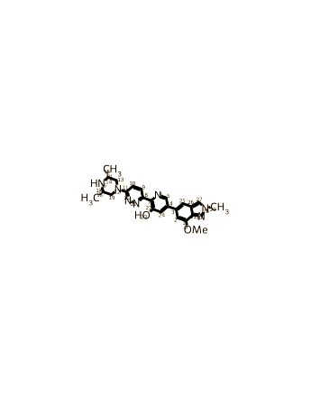 COc1cc(-c2cnc(-c3ccc(N4C[C@@H](C)N[C@@H](C)C4)nn3)c(O)c2)cc2cn(C)nc12